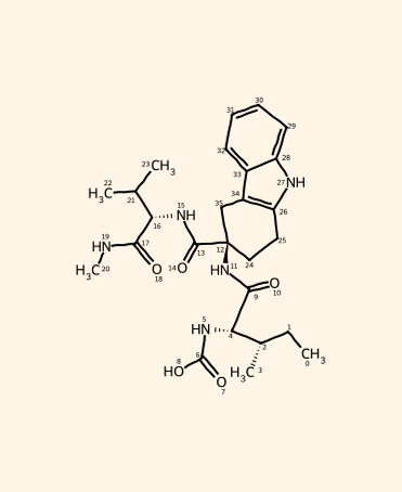 CC[C@H](C)[C@H](NC(=O)O)C(=O)N[C@]1(C(=O)N[C@H](C(=O)NC)C(C)C)CCc2[nH]c3ccccc3c2C1